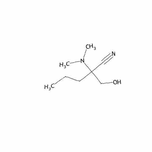 CCCC(C#N)(CO)N(C)C